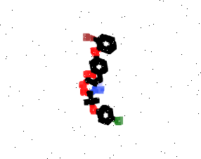 CC(C)(Oc1ccc(Cl)cc1)C(=O)N/C(=C/c1ccc(Oc2ccccc2Br)cc1)C(=O)O